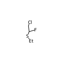 CCSC(F)CCl